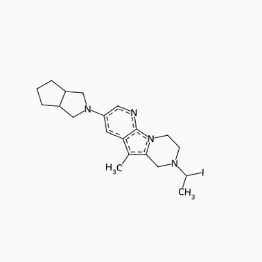 Cc1c2n(c3ncc(N4CC5CCCC5C4)cc13)CCN(C(C)I)C2